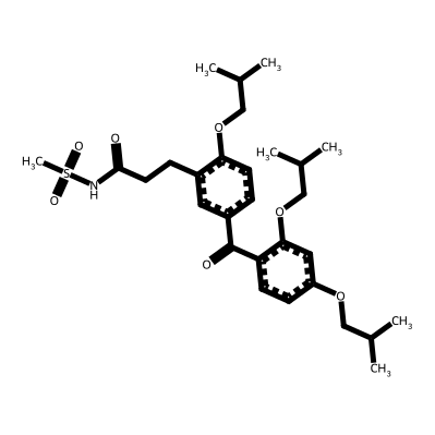 CC(C)COc1ccc(C(=O)c2ccc(OCC(C)C)c(CCC(=O)NS(C)(=O)=O)c2)c(OCC(C)C)c1